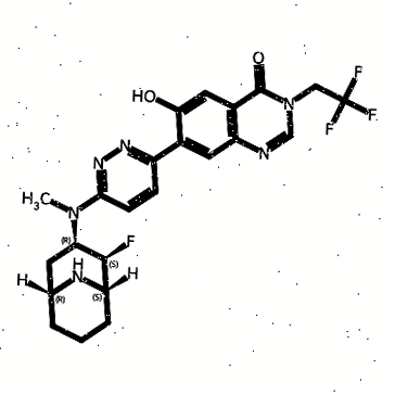 CN(c1ccc(-c2cc3ncn(CC(F)(F)F)c(=O)c3cc2O)nn1)[C@@H]1C[C@H]2CCC[C@H](N2)[C@@H]1F